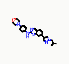 C=C(C)Cn1cc(-c2ccc3cnc(Nc4ccc(N5CCOCC5)cc4)nc3c2)cn1